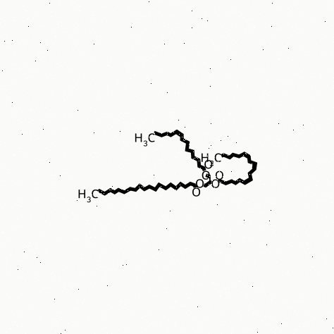 CCCCC/C=C\C/C=C\C/C=C\CCCCC(=O)O[C@H](COC(=O)CCCCCCC/C=C\CCCCC)COC(=O)CCCCCCCCCCCCCCCCCCCC